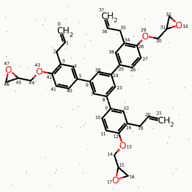 C=CCc1cc(-c2cc(-c3ccc(OCC4CO4)c(CC=C)c3)cc(-c3ccc(OCC4CO4)c(CC=C)c3)c2)ccc1OCC1CO1